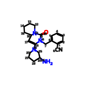 N#Cc1ccccc1CN1C(=O)N2CCCCC2C=C1N1CCCC(N)C1